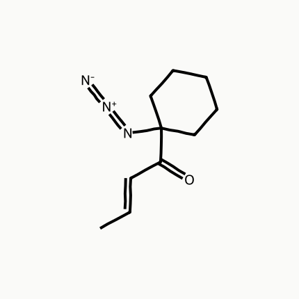 CC=CC(=O)C1(N=[N+]=[N-])CCCCC1